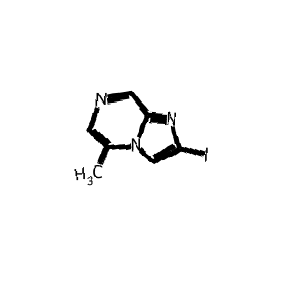 Cc1cncc2nc(I)cn12